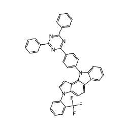 FC(F)(F)c1ccccc1-n1ccc2c1ccc1c3ccccc3n(-c3ccc(-c4nc(-c5ccccc5)nc(-c5ccccc5)n4)cc3)c12